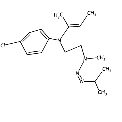 C/C=C(\C)N(CCN(C)/N=N\C(C)C)c1ccc(Cl)cc1